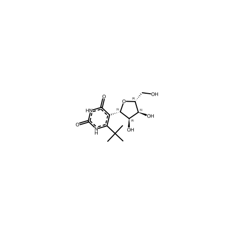 CC(C)(C)c1[nH]c(=O)[nH]c(=O)c1[C@@H]1O[C@H](CO)[C@@H](O)[C@H]1O